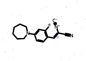 [C-]#[N+]/C(C#N)=C\c1ccc(N2CCCCCC2)cc1F